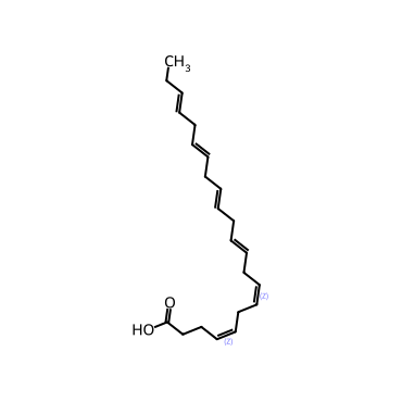 CCC=CCC=CCC=CCC=CC/C=C\C/C=C\CCC(=O)O